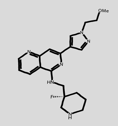 COCCn1cc(-c2cc3ncccc3c(NC[C@@]3(F)CCCNC3)n2)cn1